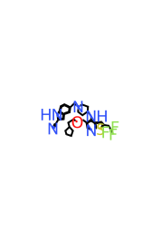 N#Cc1cc2cc(CN3CCC(Nc4c(COCCC5CCCC5)cnc5sc(CC(F)(F)F)cc45)CC3)ccc2[nH]1